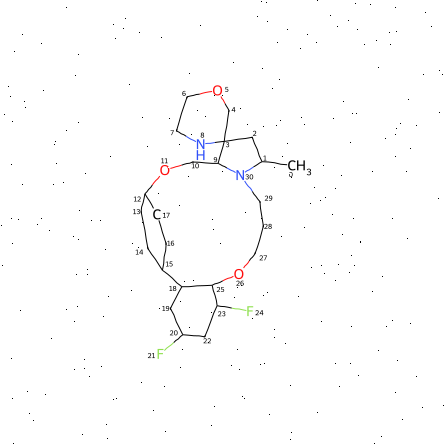 CC1CC2(COCCN2)C2COC3CCC(CC3)C3CC(F)CC(F)C3OCCCN12